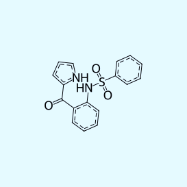 O=C(c1ccc[nH]1)c1ccccc1NS(=O)(=O)c1ccccc1